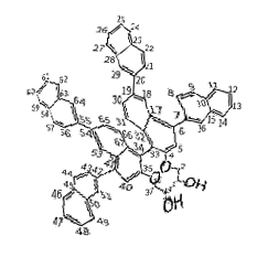 OCCOc1cc(-c2ccc3ccccc3c2)c2cc(-c3ccc4ccccc4c3)ccc2c1-c1c(OCCO)cc(-c2ccc3ccccc3c2)c2cc(-c3ccc4ccccc4c3)ccc12